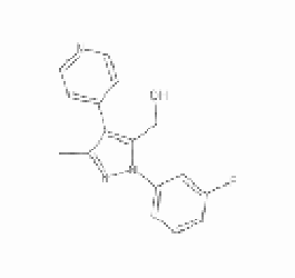 Cc1nn(-c2cccc(F)c2)c(CO)c1-c1ccncc1